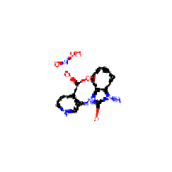 O=C(O)c1ccncc1-n1c(=O)[nH]c2ccccc21.O=NO